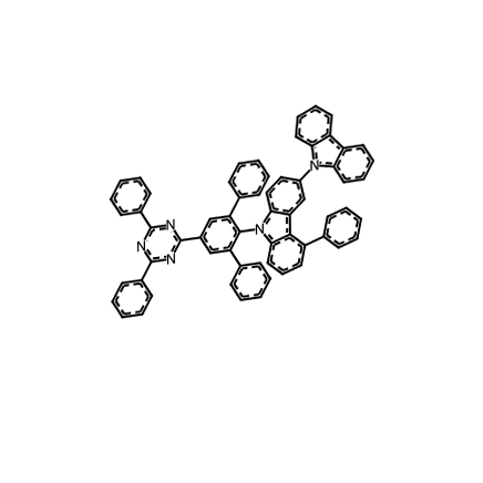 c1ccc(-c2nc(-c3ccccc3)nc(-c3cc(-c4ccccc4)c(-n4c5ccc(-n6c7ccccc7c7ccccc76)cc5c5c(-c6ccccc6)cccc54)c(-c4ccccc4)c3)n2)cc1